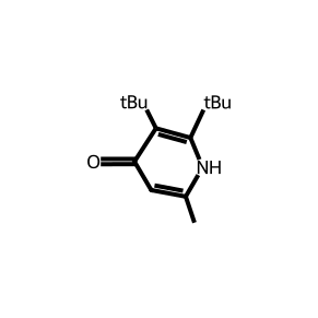 Cc1cc(=O)c(C(C)(C)C)c(C(C)(C)C)[nH]1